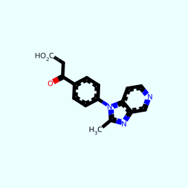 Cc1nc2cnccc2n1-c1ccc(C(=O)CC(=O)O)cc1